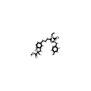 CCn1c(CCCc2ccc3c(c2)CC(C)(C(=O)OC)O3)nn(Cc2ccc(C)cc2)c1=O